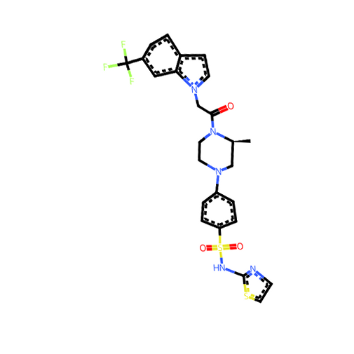 C[C@H]1CN(c2ccc(S(=O)(=O)Nc3nccs3)cc2)CCN1C(=O)Cn1ccc2ccc(C(F)(F)F)cc21